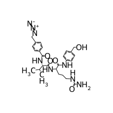 CC(C)[C@H](NC(=O)c1ccc(CN=[N+]=[N-])cc1)C(=O)NC(CCCNC(N)=O)C(=O)Nc1ccc(CO)cc1